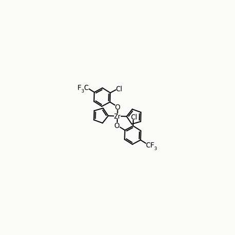 FC(F)(F)c1ccc([O][Zr]([O]c2ccc(C(F)(F)F)cc2Cl)([C]2=CC=CC2)[C]2=CC=CC2)c(Cl)c1